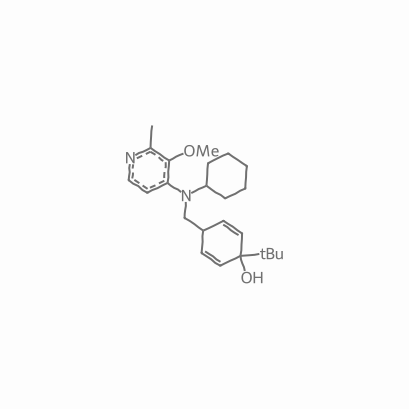 COc1c(N(CC2C=CC(O)(C(C)(C)C)C=C2)C2CCCCC2)ccnc1C